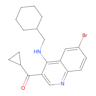 O=C(c1cnc2ccc(Br)cc2c1NCC1CCCCC1)C1CC1